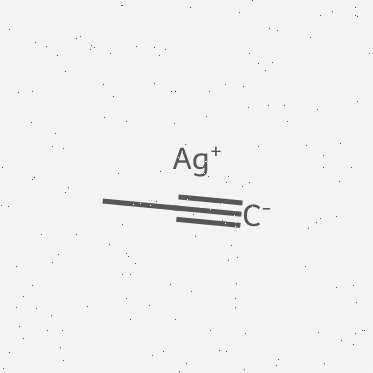 [Ag+].[C-]#CC